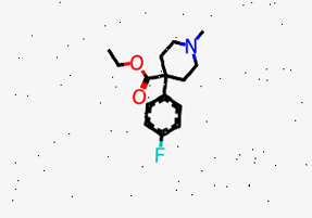 CCOC(=O)C1(c2ccc(F)cc2)CCN(C)CC1